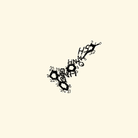 Cc1csc(CNC(=O)Nc2ccc(NS(=O)(=O)c3ccccc3-c3ccccc3)cc2)c1